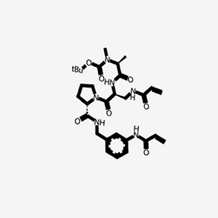 C=CC(=O)NC[C@H](NC(=O)[C@H](C)N(C)C(=O)OC(C)(C)C)C(=O)N1CCC[C@H]1C(=O)NCc1cccc(NC(=O)C=C)c1